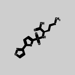 CSCC[C@@H](NS(=O)(=O)c1ccc(-c2ccon2)s1)C(=O)O